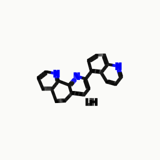 [LiH].c1cnc2c(c1)ccc1ccc(-c3cccc4ncccc34)nc12